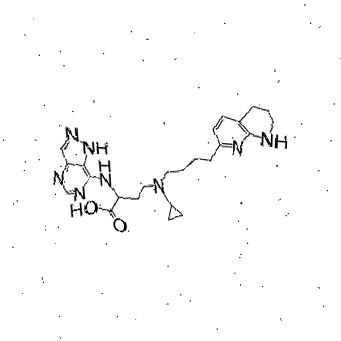 O=C(O)C(CCN(CCCCc1ccc2c(n1)NCCC2)C1CC1)Nc1ncnc2cn[nH]c12